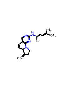 C=C1CCN2c3nc(N/C(=C/C=C(C)C)CC)ncc3C=CC12